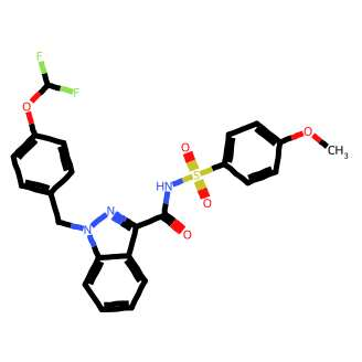 COc1ccc(S(=O)(=O)NC(=O)c2nn(Cc3ccc(OC(F)F)cc3)c3ccccc23)cc1